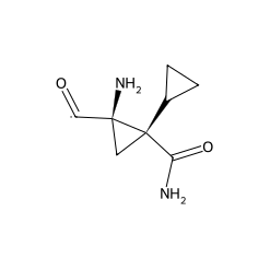 NC(=O)[C@]1(C2CC2)C[C@]1(N)[C]=O